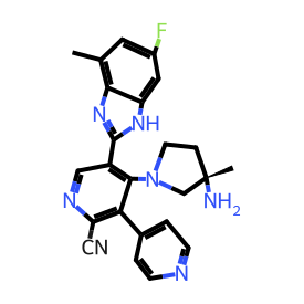 Cc1cc(F)cc2[nH]c(-c3cnc(C#N)c(-c4ccncc4)c3N3CC[C@](C)(N)C3)nc12